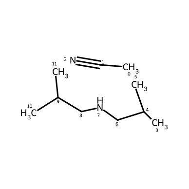 CC#N.CC(C)CNCC(C)C